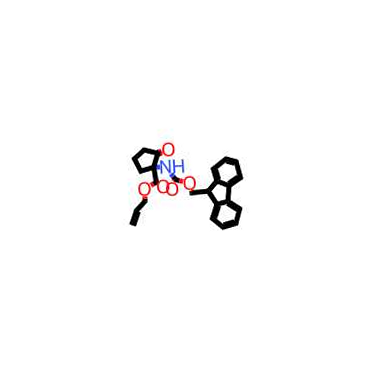 C=CCOC(=O)C1(NC(=O)OCC2c3ccccc3-c3ccccc32)CCCC1=O